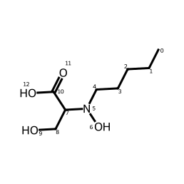 CCCCCN(O)C(CO)C(=O)O